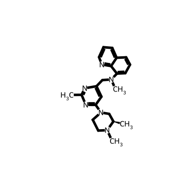 Cc1nc(CN(C)c2cccc3cccnc23)cc(N2CCN(C)[C@H](C)C2)n1